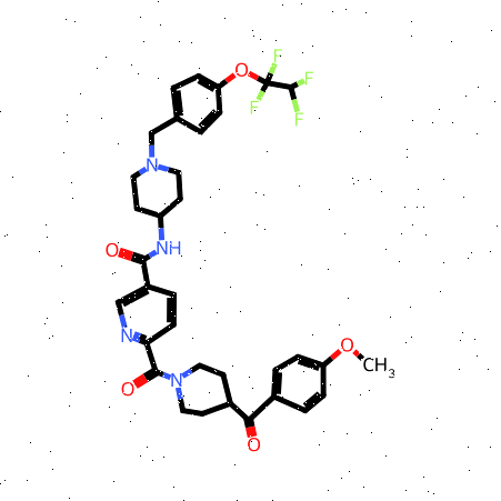 COc1ccc(C(=O)C2CCN(C(=O)c3ccc(C(=O)NC4CCN(Cc5ccc(OC(F)(F)C(F)F)cc5)CC4)cn3)CC2)cc1